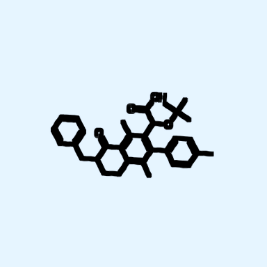 Cc1ccc(-c2c(C)c3c(c(C)c2C(OC(C)(C)C)C(=O)O)C(=O)C(Cc2ccccc2)CC3)cc1